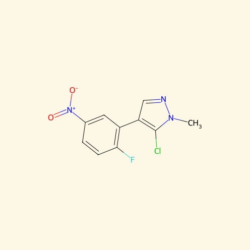 Cn1ncc(-c2cc([N+](=O)[O-])ccc2F)c1Cl